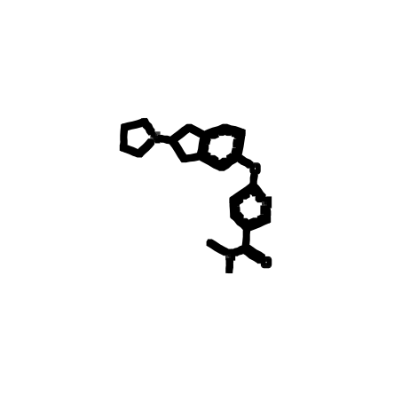 CN(C)C(=O)c1ccc(Oc2ccc3c(c2)CC(N2CCCC2)C3)nc1